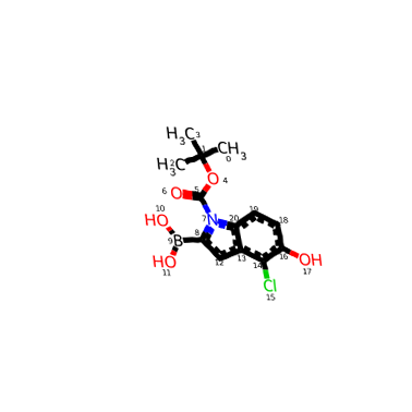 CC(C)(C)OC(=O)n1c(B(O)O)cc2c(Cl)c(O)ccc21